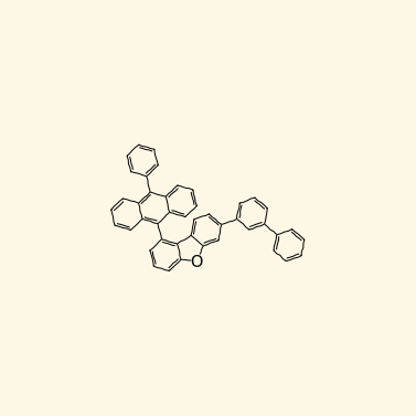 c1ccc(-c2cccc(-c3ccc4c(c3)oc3cccc(-c5c6ccccc6c(-c6ccccc6)c6ccccc56)c34)c2)cc1